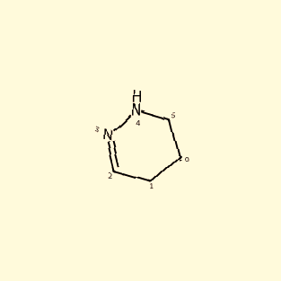 [CH]1CC=NNC1